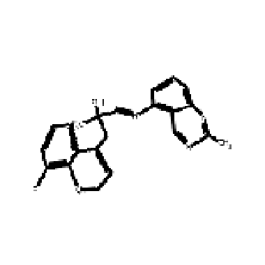 Cc1ncc2c(N=CC(O)(CC3=CCOc4c(F)cccc43)C(F)(F)F)cccc2n1